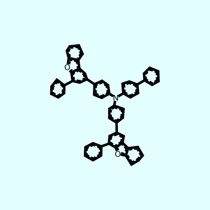 c1ccc(-c2ccc(N(c3ccc(-c4cc(-c5ccccc5)c5oc6ccccc6c5c4)cc3)c3ccc(-c4cc(-c5ccccc5)c5oc6ccccc6c5c4)cc3)cc2)cc1